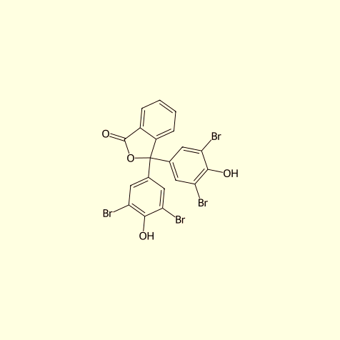 O=C1OC(c2cc(Br)c(O)c(Br)c2)(c2cc(Br)c(O)c(Br)c2)c2ccccc21